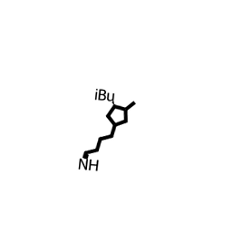 CCC(C)[C@H]1CC(CCCC=N)CC1C